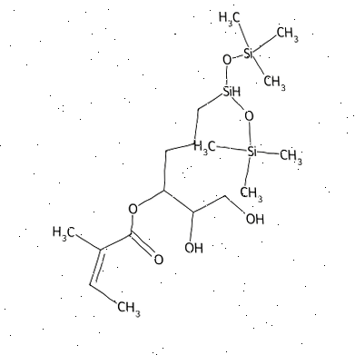 CC=C(C)C(=O)OC(CCC[SiH](O[Si](C)(C)C)O[Si](C)(C)C)C(O)CO